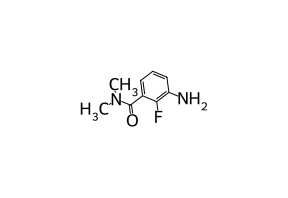 CN(C)C(=O)c1cccc(N)c1F